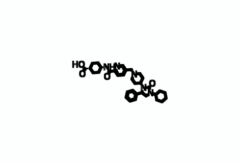 O=C(N[C@H]1CC[C@@H](C(=O)O)CC1)c1ccc(CN2CCC(N3C(=O)N(C4CCCCC4)CC3c3ccccc3)CC2)cn1